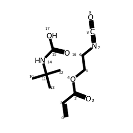 C=CC(=O)OCCN=C=O.CC(C)(C)NC(=O)O